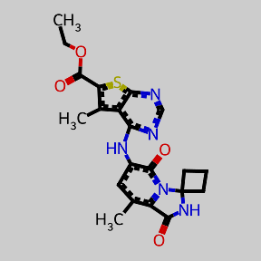 CCOC(=O)c1sc2ncnc(Nc3cc(C)c4n(c3=O)C3(CCC3)NC4=O)c2c1C